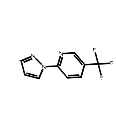 FC(F)(F)c1ccc(-n2cc[c]n2)nc1